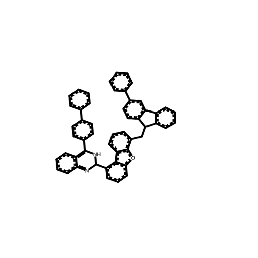 c1ccc(-c2ccc(C3=c4ccccc4=NC(c4cccc5oc6c(CC7c8ccccc8-c8cc(-c9ccccc9)ccc87)cccc6c45)N3)cc2)cc1